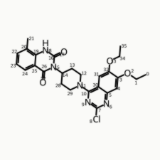 CCOc1cc2nc(Cl)nc(N3CCC(n4c(=O)[nH]c5c(C)cccc5c4=O)CC3)c2cc1OCC